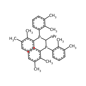 CCCC(P(c1cccc(C)c1C)c1cccc(C)c1C)P(c1cccc(C)c1C)c1cccc(C)c1C